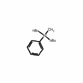 CCCC[N+](C)(CCCC)c1ccccc1